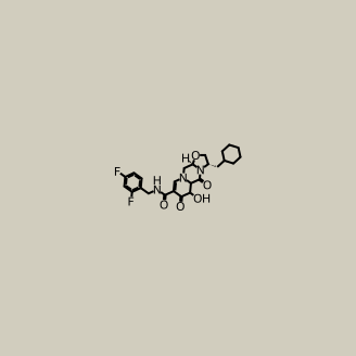 O=C(NCc1ccc(F)cc1F)C1=CN2C[C@H]3OC[C@H](CC4CCCCC4)N3C(=O)C2C(O)C1=O